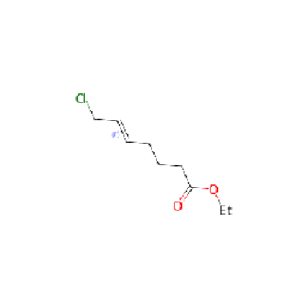 CCOC(=O)CCC/C=C/CCl